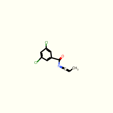 CC=C=NC(=O)c1cc(Cl)cc(Cl)c1